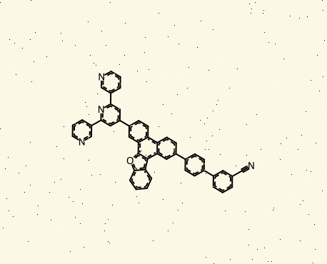 N#Cc1cccc(-c2ccc(-c3ccc4c5ccc(-c6cc(-c7cccnc7)nc(-c7cccnc7)c6)cc5c5oc6ccccc6c5c4c3)cc2)c1